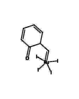 O=C1C=CC=CC1[CH]=[Ru]([I])([I])([I])[I]